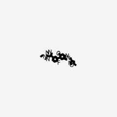 CCn1cnc2c(-c3ccc(F)c(-c4cc5cn(Cc6cc(C)on6)nc5cc4OC)c3)cnnc21